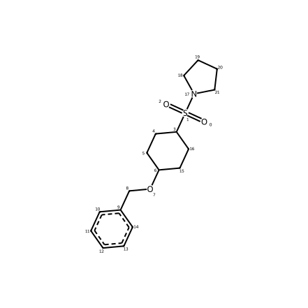 O=S(=O)(C1CCC(OCc2ccccc2)CC1)N1CCCC1